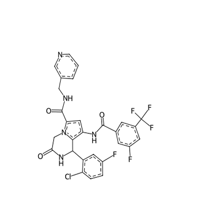 O=C1Cn2c(C(=O)NCc3cccnc3)cc(NC(=O)c3cc(F)cc(C(F)(F)F)c3)c2C(c2cc(F)ccc2Cl)N1